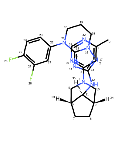 Cc1cc(N2C[C@H]3CC[C@@H](C2)[C@@H]3Nc2nc3n(n2)CCCN3c2ccc(F)c(F)c2)ncn1